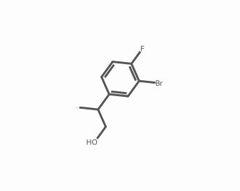 [CH2]C(CO)c1ccc(F)c(Br)c1